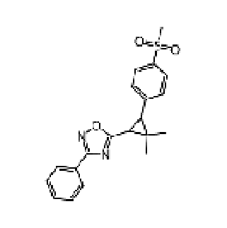 CC1(C)C(c2ccc(S(C)(=O)=O)cc2)C1c1nc(-c2ccccc2)no1